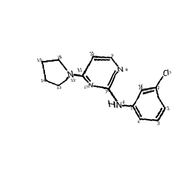 Clc1cccc(Nc2nccc(N3CCCC3)n2)c1